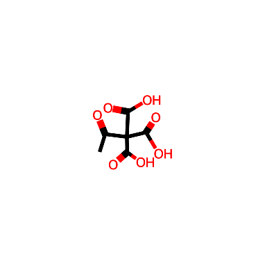 CC(=O)C(C(=O)O)(C(=O)O)C(=O)O